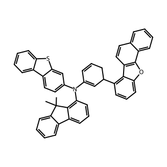 CC1(C)c2ccccc2-c2cccc(N(C3=CC(c4cccc5oc6c7ccccc7ccc6c45)CC=C3)c3ccc4c(c3)sc3ccccc34)c21